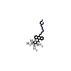 BC(=C)/C(B)=C(B)\C(B)=C(/C)c1c2ccccc2c(/C=C/C\C=C/C=C/C=C(/C=C\CC)CC)c2ccccc12